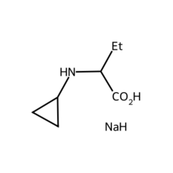 CCC(NC1CC1)C(=O)O.[NaH]